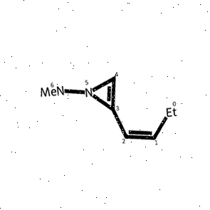 CC/C=C\C1=CN1NC